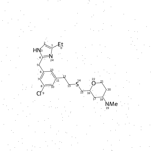 CCc1c[nH]c(Cc2cc(Cl)cc(CCSCC3CC(NC)CCO3)c2)n1